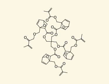 C=C(C)C(=O)COCC12C=CC(CC1C(=O)OCC(COC(=O)C1CC3C=CC1(COC(=O)C(=C)C)O3)(COC(=O)C1CC3C=CC1(COC(=O)C(=C)C)O3)COC(=O)C1CC3C=CC1(COC(=O)C(=C)C)O3)O2